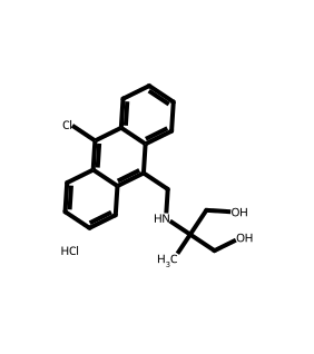 CC(CO)(CO)NCc1c2ccccc2c(Cl)c2ccccc12.Cl